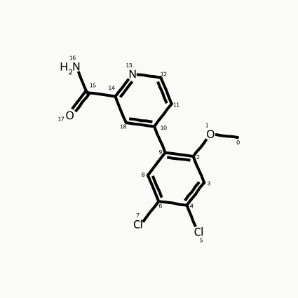 COc1cc(Cl)c(Cl)cc1-c1ccnc(C(N)=O)c1